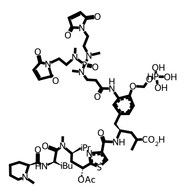 CC[C@H](C)[C@@H](NC(=O)[C@@H]1CCCCN1C)C(=O)N(C)[C@H](C[C@@H](OC(C)=O)c1nc(C(=O)N[C@@H](Cc2ccc(OCO[PH](O)(O)O)c(NC(=O)CCN(C)P(=O)(N(C)CCN3C(=O)C=CC3=O)N(C)CCN3C(=O)C=CC3=O)c2)CC(C)C(=O)O)cs1)C(C)C